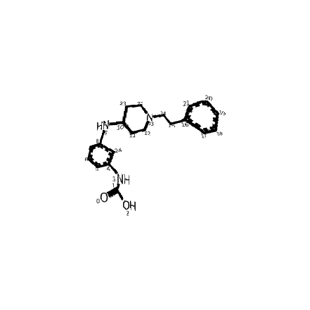 O=C(O)Nc1cccc(NC2CCN(CCc3ccccc3)CC2)c1